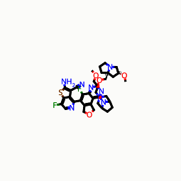 COCCCN1CC2CCC(C1)N2c1nc(OC[C@@]23CCCN2C[C@H](OC)C3)nc2c(F)c(-c3ncc(F)c4sc(N)c(C#N)c34)c3c(c12)COC3